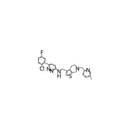 Cc1ccc(CN2CCc3c(CNc4ccc(-c5cc(F)ccc5Cl)nn4)csc3C2)nc1